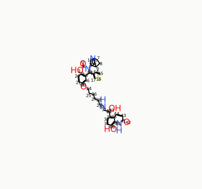 O=C(O)N(C1CN2CCC1CC2)[C@@H](c1ccsc1)c1cccc(OCCCCCCNC[C@H](O)c2ccc(O)c3[nH]c(=O)ccc23)c1